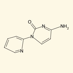 Nc1ccn(-c2ccccn2)c(=O)n1